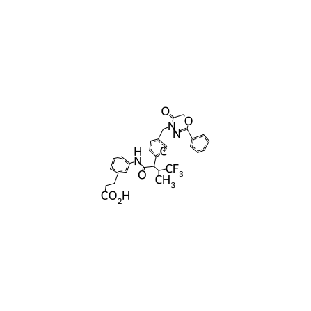 CC(C(C(=O)Nc1cccc(CCC(=O)O)c1)c1ccc(CN2N=C(c3ccccc3)OCC2=O)cc1)C(F)(F)F